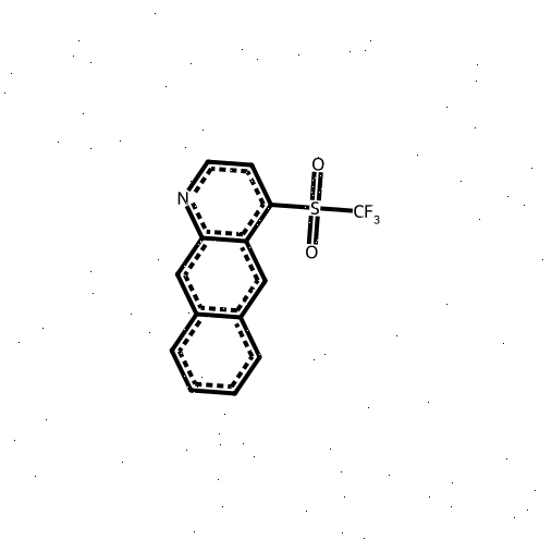 O=S(=O)(c1ccnc2cc3ccccc3cc12)C(F)(F)F